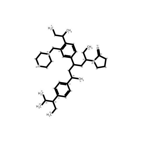 CCC(C)c1ccc(C(CC(C)c2ccc(C(CC)C(C)C)cc2)CC(CC)N2CCCC2=O)cc1CN1CCOCC1